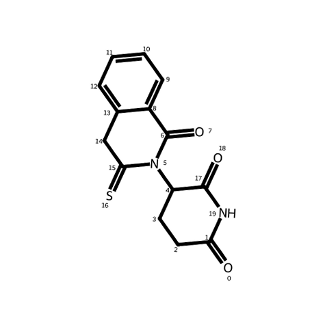 O=C1CCC(N2C(=O)c3ccccc3CC2=S)C(=O)N1